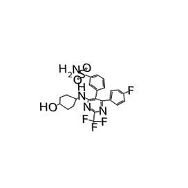 NS(=O)(=O)c1cccc(-c2c(NC3CCC(O)CC3)nc(C(F)(F)F)nc2-c2ccc(F)cc2)c1